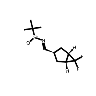 CC(C)(C)[S+]([O-])/N=C/[C@@H]1C[C@@H]2[C@H](C1)C2(F)F